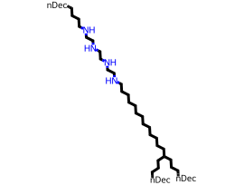 CCCCCCCCCCCCCCNCCNCCNCCNCCCCCCCCCCCCCC(CCCCCCCCCCCCC)CCCCCCCCCCCCC